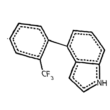 FC(F)(F)c1c[c]ccc1-c1cccc2[nH]ccc12